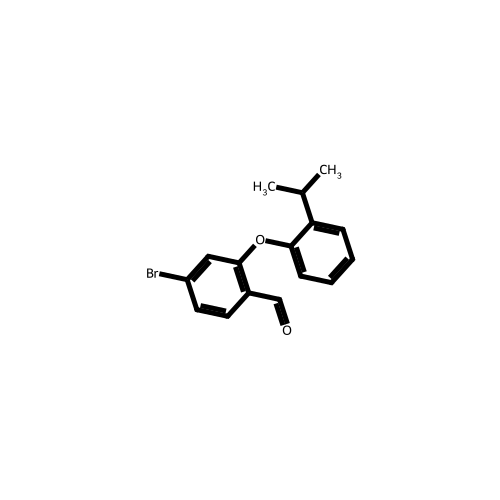 CC(C)c1ccccc1Oc1cc(Br)ccc1C=O